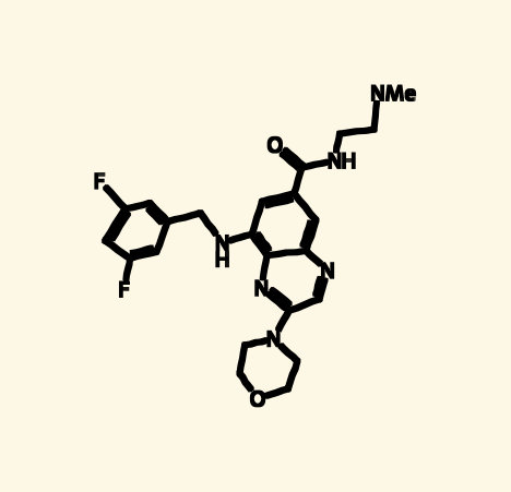 CNCCNC(=O)c1cc(NCc2cc(F)cc(F)c2)c2nc(N3CCOCC3)cnc2c1